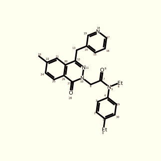 CCc1ccc(N(CC)C(=O)Cn2nc(Cc3cccnc3)c3cc(C)ccc3c2=O)cc1